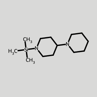 C[Si](C)(C)N1CCC(N2CCCCC2)CC1